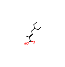 CCC(CC)C/C=C(\C)C(=O)O